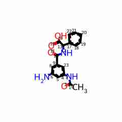 CC(=O)Nc1cc(N)cc(C(=O)NC(C(=O)O)c2ccccc2)c1